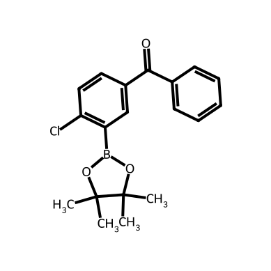 CC1(C)OB(c2cc(C(=O)c3ccccc3)ccc2Cl)OC1(C)C